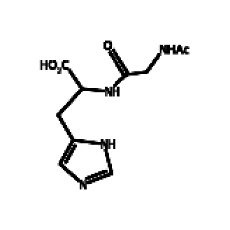 CC(=O)NCC(=O)NC(Cc1cnc[nH]1)C(=O)O